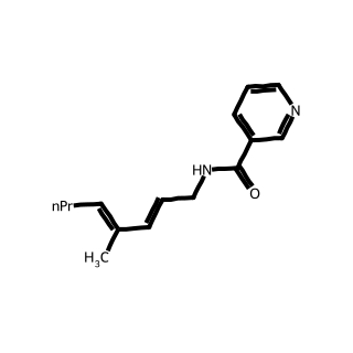 CCCC=C(C)C=CCNC(=O)c1cccnc1